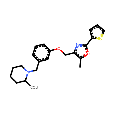 Cc1oc(-c2cccs2)nc1COc1cccc(CN2CCCCC2C(=O)O)c1